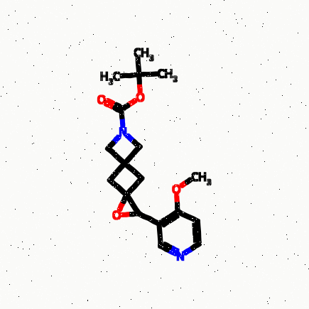 COc1ccncc1C1OC12CC1(CN(C(=O)OC(C)(C)C)C1)C2